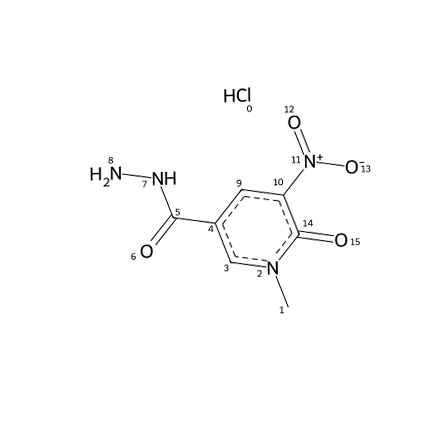 Cl.Cn1cc(C(=O)NN)cc([N+](=O)[O-])c1=O